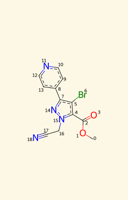 COC(=O)c1c(Br)c(-c2ccncc2)nn1CC#N